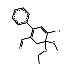 CCOC1(OC)CC(C=O)=C(c2ccccc2)C=C1O